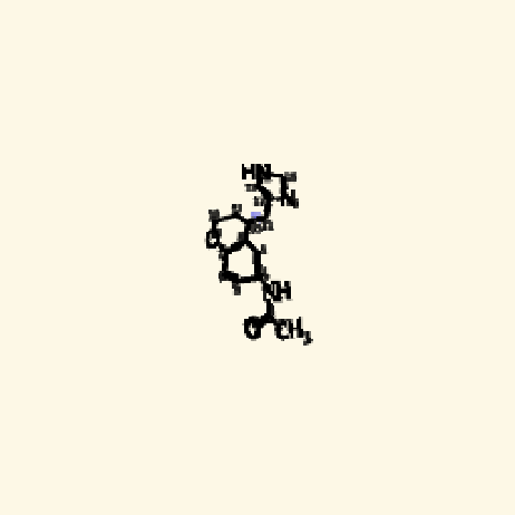 CC(=O)Nc1ccc2c(c1)/C(=C/c1c[nH]cn1)CCO2